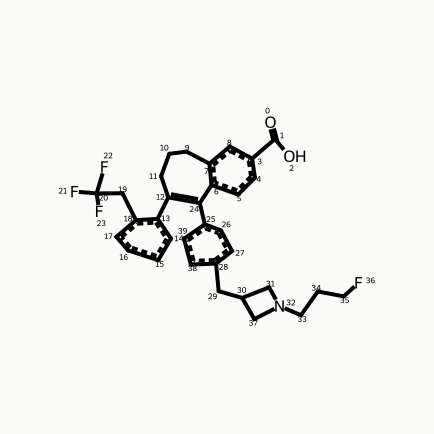 O=C(O)c1ccc2c(c1)CCCC(c1ccccc1CC(F)(F)F)=C2c1ccc(CC2CN(CCCF)C2)cc1